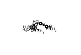 CCCCN1C(=O)[C@@H]([C@H](O)C(CC)CC)NC(=O)C12CCN(Cc1ccc(OCc3ccc(C(=O)NC)cc3)cc1)CC2.Cl